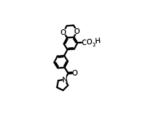 O=C(O)c1cc(-c2cccc(C(=O)N3CCCC3)c2)cc2c1OCCO2